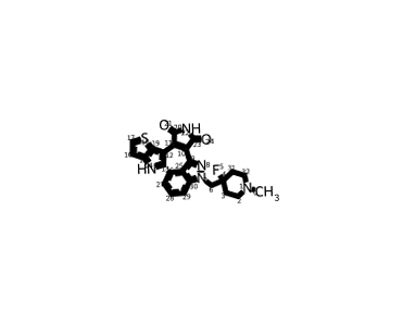 CN1CCC(F)(Cn2nc(C3=C(c4c[nH]c5ccsc45)C(=O)NC3=O)c3ccccc32)CC1